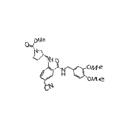 COC(=O)N1CC[C@H](Nc2ccc(C#N)cc2C(=O)NCc2ccc(OC)c(OC)c2)C1